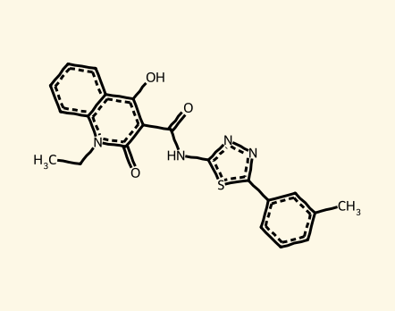 CCn1c(=O)c(C(=O)Nc2nnc(-c3cccc(C)c3)s2)c(O)c2ccccc21